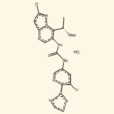 CN[C@@H](C)c1c(NC(=O)Nc2cnc(-n3nccn3)c(Cl)c2)cnc2cc(Cl)nn12.Cl